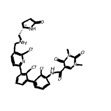 CCc1nc(-c2cccc(-c3cccc(NC(=O)c4cn(C)c(=O)n(C)c4=O)c3Cl)c2Cl)ccc1CNC[C@@H]1CCC(=O)N1